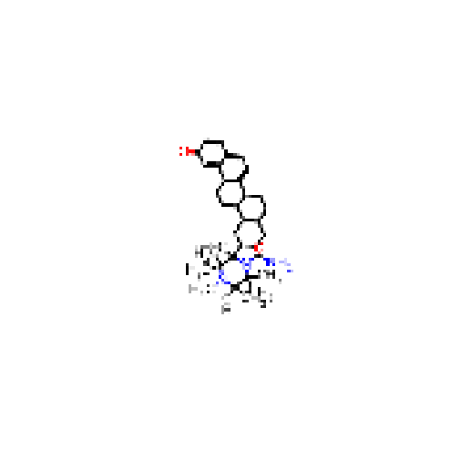 CN1C(C)(C)C(C)(C)N(C(N)=O)C(C)(C2CCC3CCC4C5=CC=C6C=CC(=O)C=C6C5CCC4C3C2)C1(C)C